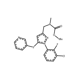 CN(Cc1cc(Sc2cccnc2)n(-c2cccc(Cl)c2F)n1)C(=O)OC(C)(C)C